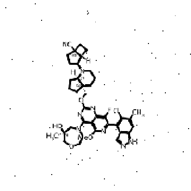 COc1nc(-c2c(Cl)c(C)cc3[nH]ncc23)c(F)c2nc(OC[C@]34CCC[C@H]3N(C3CC[C@]5(C#N)CC[C@H]35)CCC4)nc(N3CCOC[C@@](C)(O)C3)c12